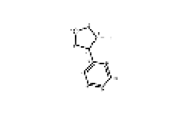 C[C@H]1COCC1c1ccccc1